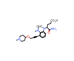 CN1CCC(OCC#Cc2cccc(N(C=O)C(CCC(=O)O)C(N)=O)c2N(C)C)CC1